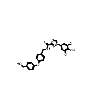 O=C(NCc1ccc(Oc2ccc(CO)cc2)cc1)c1ncn(-c2cc(Cl)c(O)c(Cl)c2)n1